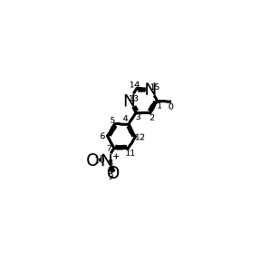 Cc1cc(-c2ccc([N+](=O)[O-])cc2)ncn1